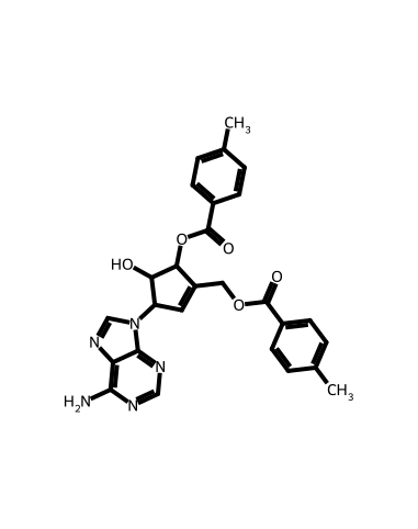 Cc1ccc(C(=O)OCC2=CC(n3cnc4c(N)ncnc43)C(O)C2OC(=O)c2ccc(C)cc2)cc1